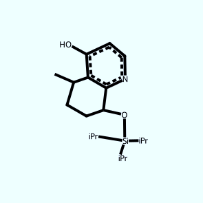 CC1CCC(O[Si](C(C)C)(C(C)C)C(C)C)c2nccc(O)c21